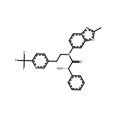 Cc1nc2ccc(N(CCc3ccc(C(F)(F)F)nc3)C(=O)[C@@H](O)c3ccccc3)cc2o1